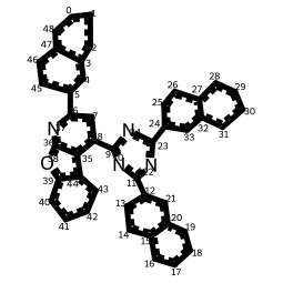 c1ccc2cc(-c3cc(-c4nc(-c5ccc6ccccc6c5)nc(-c5ccc6ccccc6c5)n4)c4c(n3)oc3ccccc34)ccc2c1